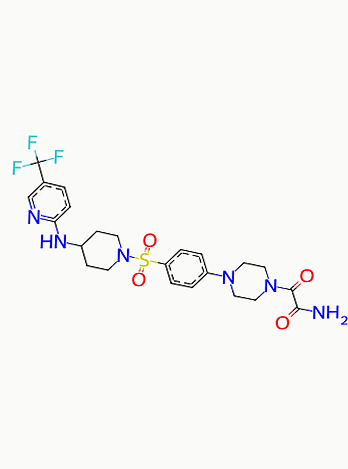 NC(=O)C(=O)N1CCN(c2ccc(S(=O)(=O)N3CCC(Nc4ccc(C(F)(F)F)cn4)CC3)cc2)CC1